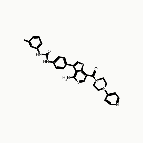 Cc1cccc(NC(=O)Nc2ccc(-c3csc4c(C(=O)N5CCN(c6ccncc6)CC5)cnc(N)c34)cc2)c1